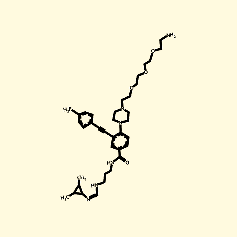 CC1C(C)C1/N=C\NCCCNC(=O)c1ccc(N2CCN(CCOCCOCCOCCN)CC2)c(C#Cc2ccc(P)cc2)c1